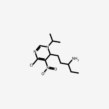 CCC(N)CCC1C([N+](=O)[O-])=C(Cl)N=CN1C(C)C